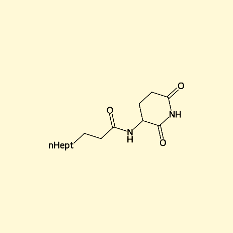 CCCCCCCCCC(=O)NC1CCC(=O)NC1=O